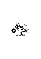 CCCCC(CC)CN(CC(CC)CCCC)c1nc(C(C)(C)C)c(/C=C2\C(=O)N(c3ccccc3)N=C2C#N)s1